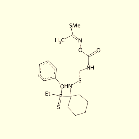 CCP(=S)(Oc1ccccc1)C1(NSCNC(=O)ON=C(C)SC)CCCCC1